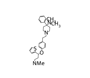 CNCCC(Oc1ccc(CCN2CCC(c3ccccc3)(N(C)C)CC2)cc1)c1cccs1